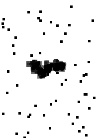 Cc1n[nH]c(C)c1-c1nc2c(-c3ccc(Cn4ccc5ccccc5c4=O)c(F)c3)ccnc2[nH]1